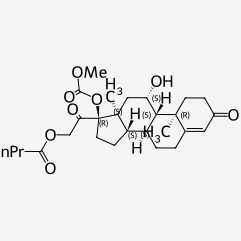 CCCC(=O)OCC(=O)[C@@]1(OC(=O)OC)CC[C@H]2[C@@H]3CCC4=CC(=O)CC[C@]4(C)[C@H]3[C@@H](O)C[C@@]21C